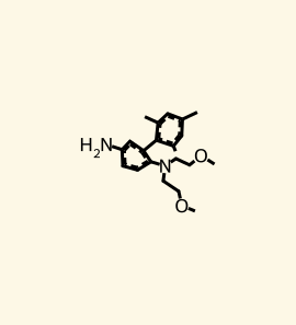 COCCN(CCOC)c1ccc(N)cc1-c1c(C)cc(C)cc1C